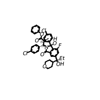 CC[C@@](O)(c1cc(F)c2c(c1)C(=O)N([C@H](c1ccc(Cl)cc1)[C@H](C)C(=O)Oc1ccccc1)C2(O)c1ccc(Cl)cc1)C1CCOCC1